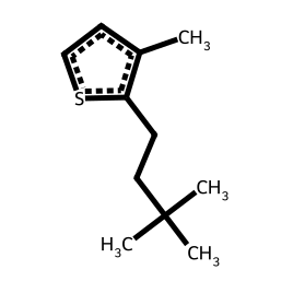 Cc1ccsc1CCC(C)(C)C